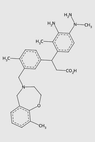 Cc1ccc(C(CC(=O)O)c2ccc(N(C)N)c(N)c2C)cc1CN1CCOc2c(C)cccc2C1